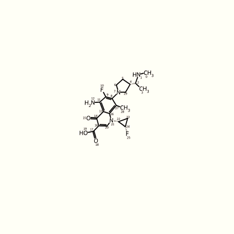 CNC(C)[C@H]1CCN(c2c(F)c(N)c3c(=O)c(C(=O)O)cn([C@@H]4C[C@@H]4F)c3c2C)C1